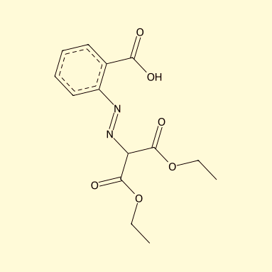 CCOC(=O)C(N=Nc1ccccc1C(=O)O)C(=O)OCC